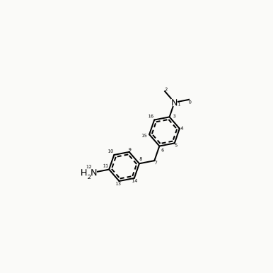 CN(C)c1ccc(Cc2ccc(N)cc2)cc1